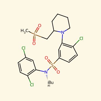 CC[C@@H](C)N(c1cc(Cl)ccc1Cl)S(=O)(=O)c1ccc(Cl)c(N2CCCCC2CS(C)(=O)=O)c1